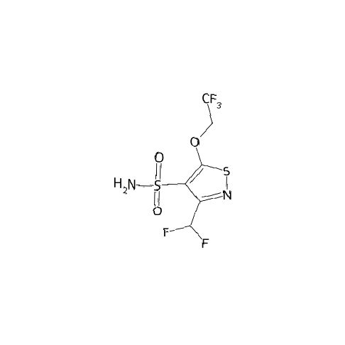 NS(=O)(=O)c1c(C(F)F)nsc1OCC(F)(F)F